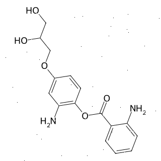 Nc1cc(OCC(O)CO)ccc1OC(=O)c1ccccc1N